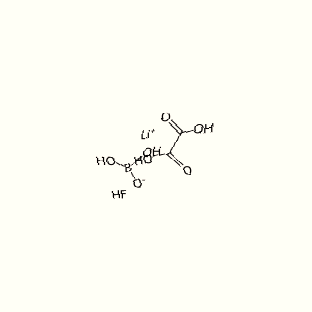 F.O=C(O)C(=O)O.[Li+].[O-]B(O)O